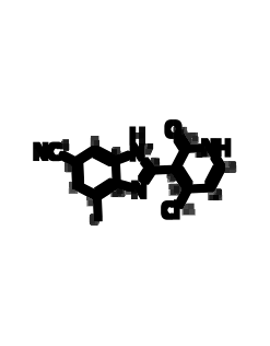 Cc1cc(C#N)cc2[nH]c(-c3c(Cl)cc[nH]c3=O)nc12